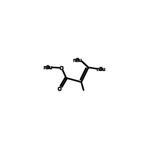 CCCCOC(=O)C(C)=C(CCCC)CCCC